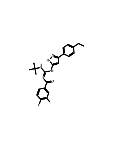 CCc1ccc(-c2cc(N/C(=N\C(=O)c3ccc(F)c(F)c3)NC(C)(C)C)[nH]n2)cc1